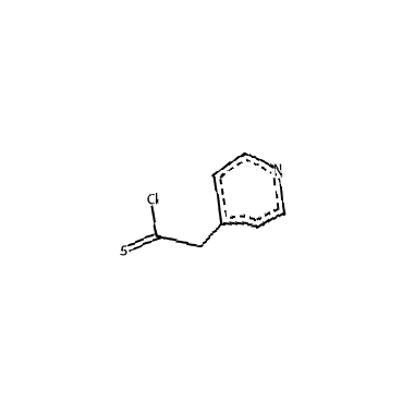 S=C(Cl)Cc1ccncc1